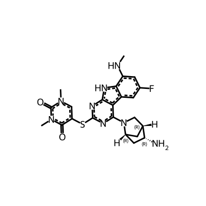 CNc1cc(F)cc2c1[nH]c1nc(Sc3cn(C)c(=O)n(C)c3=O)nc(N3C[C@H]4C[C@@H]3C[C@H]4N)c12